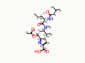 CC[C@H](C)[C@H](NC(=O)CC(C)C)C(=O)N(C)C(C[C@@H](OC(C)=O)c1nc(C(=O)O)cs1)C(C)C